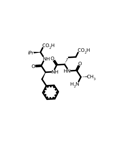 CC(C)[C@H](NC(=O)[C@H](Cc1ccccc1)NC(=O)[C@H](CCC(=O)O)NC(=O)[C@H](C)N)C(=O)O